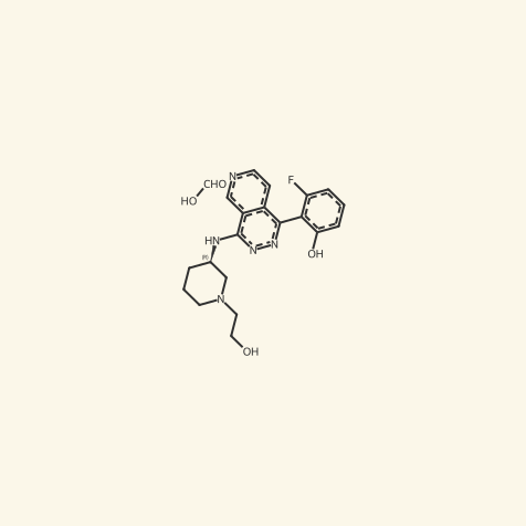 O=CO.OCCN1CCC[C@@H](Nc2nnc(-c3c(O)cccc3F)c3ccncc23)C1